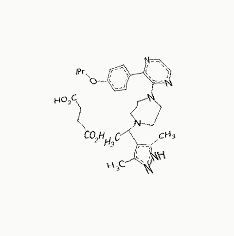 Cc1n[nH]c(C)c1C(C)N1CCN(c2nccnc2-c2ccc(OC(C)C)cc2)CC1.O=C(O)CCC(=O)O